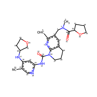 CN(Cc1cc2c(nc1C=O)N(C(=O)Nc1cc(NC3CCOC3)c(C#N)cn1)CCC2)C(=O)C1CCCO1